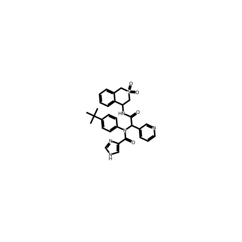 CC(C)(C)c1ccc(N(C(=O)c2c[nH]cn2)C(C(=O)NC2CS(=O)(=O)Cc3ccccc32)c2cccnc2)cc1